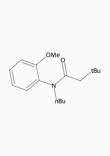 CCCCN(C(=O)CC(C)(C)C)c1ccccc1OC